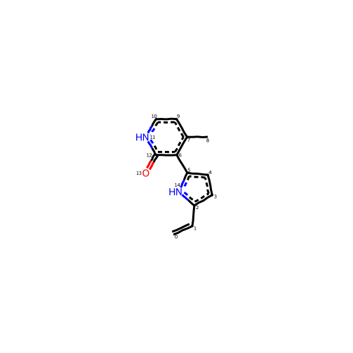 C=Cc1ccc(-c2c(C)cc[nH]c2=O)[nH]1